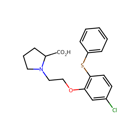 O=C(O)C1CCCN1CCOc1cc(Cl)ccc1Sc1ccccc1